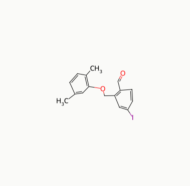 Cc1ccc(C)c(OCc2cc(I)ccc2C=O)c1